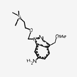 COCc1nn(COCC[Si](C)(C)C)c2cc(N)ccc12